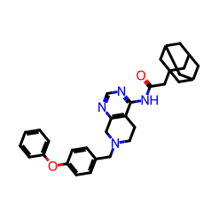 O=C(CC12CC3CC(CC(C3)C1)C2)Nc1ncnc2c1CCN(Cc1ccc(Oc3ccccc3)cc1)C2